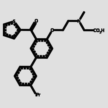 CC(C)c1cccc(-c2ccc(OCCN(C)CC(=O)O)c(C(=O)c3cccs3)c2)c1